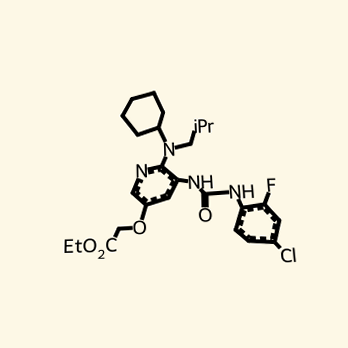 CCOC(=O)COc1cnc(N(CC(C)C)C2CCCCC2)c(NC(=O)Nc2ccc(Cl)cc2F)c1